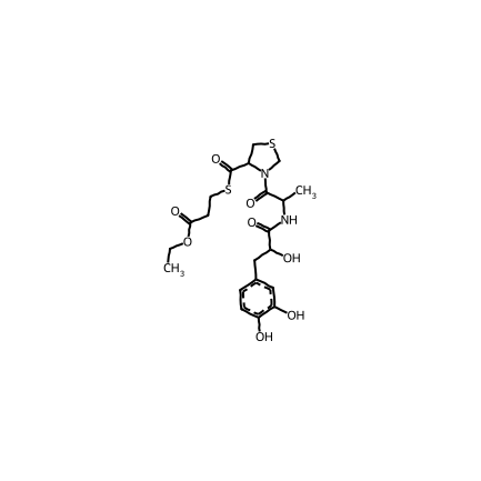 CCOC(=O)CCSC(=O)C1CSCN1C(=O)C(C)NC(=O)C(O)Cc1ccc(O)c(O)c1